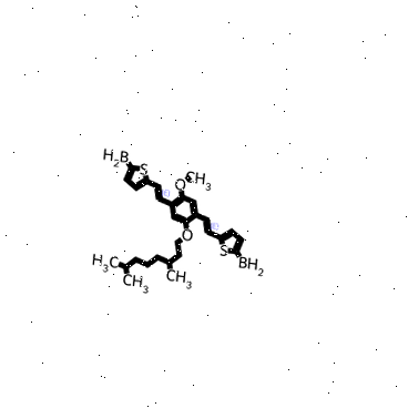 Bc1ccc(/C=C/c2cc(OCCC(C)CCCC(C)C)c(/C=C/c3ccc(B)s3)cc2OC)s1